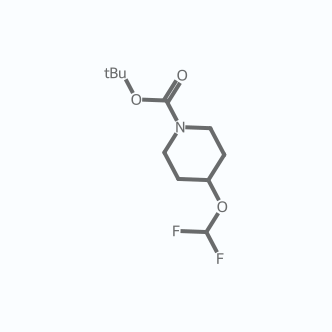 CC(C)(C)OC(=O)N1CCC(OC(F)F)CC1